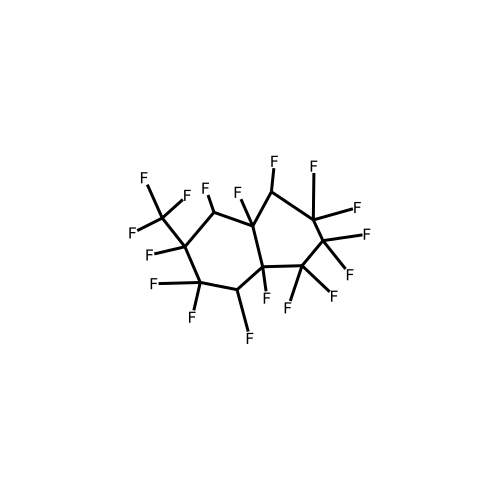 FC1C(F)(F)C(F)(F)C(F)(F)C2(F)C(F)C(F)(F)C(F)(C(F)(F)F)C(F)C12F